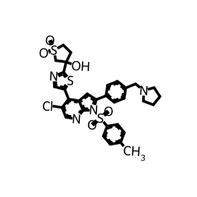 Cc1ccc(S(=O)(=O)n2c(-c3ccc(CN4CCCC4)cc3)cc3c(-c4cnc(C5(O)CCS(=O)(=O)C5)s4)c(Cl)cnc32)cc1